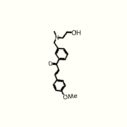 COc1ccc(C=CC(=O)c2cccc(CN(C)CCO)c2)cc1